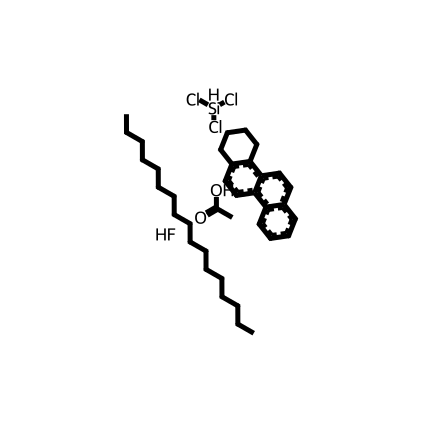 CC(=O)O.CCCCCCCCCCCCCCCCC.Cl[SiH](Cl)Cl.F.c1ccc2c(c1)ccc1c3c(ccc12)CCCC3